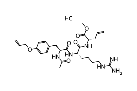 C=CCOc1ccc(C[C@H](NC(C)=O)C(=O)N[C@@H](CCCCNC(=N)N)C(=O)N[C@@H](CC=C)C(=O)OC)cc1.Cl